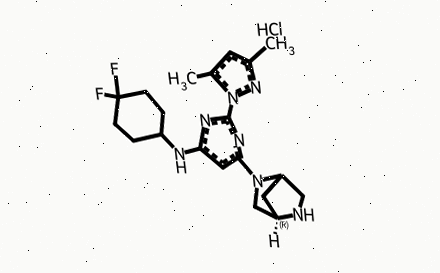 Cc1cc(C)n(-c2nc(NC3CCC(F)(F)CC3)cc(N3C[C@H]4CC3CN4)n2)n1.Cl